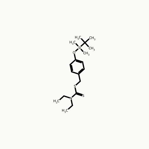 CCN(CC)C(=S)SCc1ccc(O[Si](C)(C)C(C)(C)C)cc1